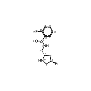 [O-][S+](NC[C@@H]1C[C@@H](F)CN1)c1ccccc1F